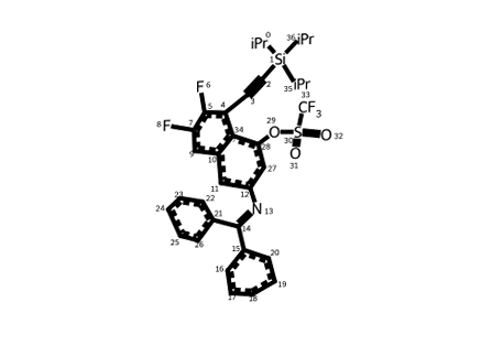 CC(C)[Si](C#Cc1c(F)c(F)cc2cc(N=C(c3ccccc3)c3ccccc3)cc(OS(=O)(=O)C(F)(F)F)c12)(C(C)C)C(C)C